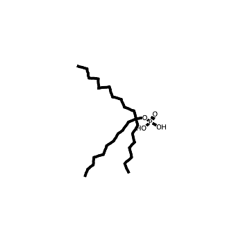 CCCCCCCCCCC(CCCCCCC)(CCCCCCCCCC)OP(=O)(O)O